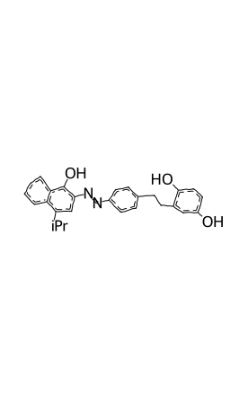 CC(C)c1cc(N=Nc2ccc(CCc3cc(O)ccc3O)cc2)c(O)c2ccccc12